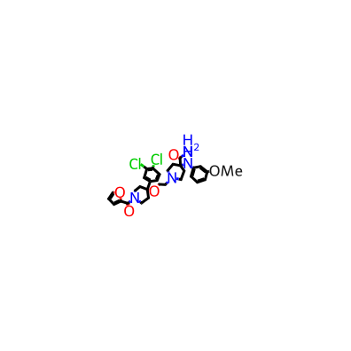 COc1cccc(NC2(C(N)=O)CCN(CCOC3(c4ccc(Cl)c(Cl)c4)CCN(C(=O)c4ccco4)CC3)CC2)c1